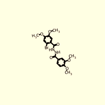 COc1ccc(C(=O)NNC(=O)c2cc(OC)c(OC)cc2Br)cc1OC